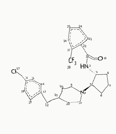 O=C(N[C@@H]1CCC[C@H]1N1CCC(Cc2ccc(Cl)cc2)CC1)c1ccccc1C(F)(F)F